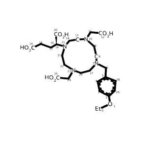 CCOc1ccc(CN2CCN(CC(=O)O)CCN([C@@H](CCC(=O)O)C(=O)O)CCN(CC(=O)O)CC2)cc1